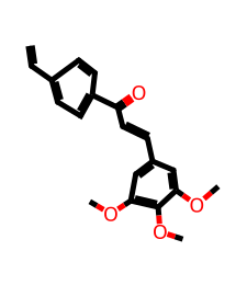 C=Cc1ccc(C(=O)C=Cc2cc(OC)c(OC)c(OC)c2)cc1